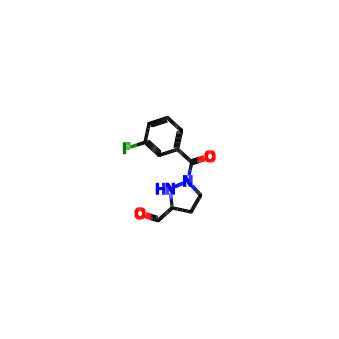 O=CC1CCN(C(=O)c2cccc(F)c2)N1